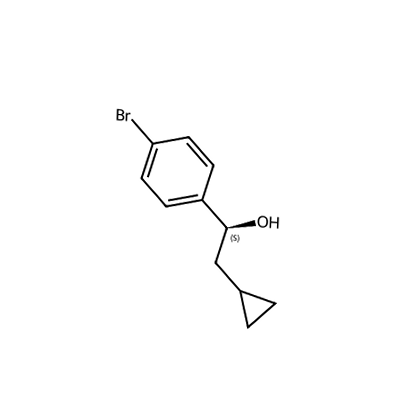 O[C@@H](CC1CC1)c1ccc(Br)cc1